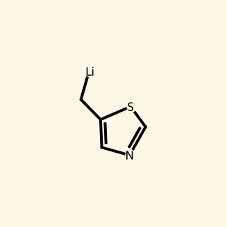 [Li][CH2]c1cncs1